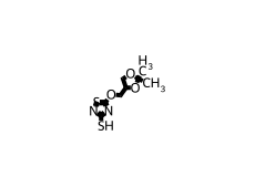 CC1(C)OCC(COc2nc(S)ns2)O1